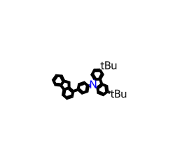 CC(C)(C)c1ccc2c(c1)c1cc(C(C)(C)C)ccc1n2-c1ccc(-c2cccc3c2Cc2ccccc2-3)cc1